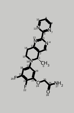 C[C@H]1c2cnc(-c3ncccn3)nc2CCN1c1cc(F)c(F)c(OCC(N)=O)c1